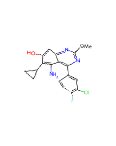 COc1nc(-c2ccc(F)c(Cl)c2)c2c(N)c(C3CC3)c(O)cc2n1